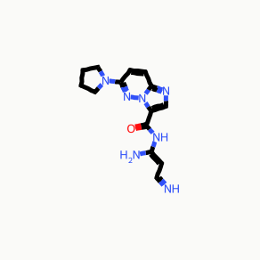 N=C/C=C(\N)NC(=O)c1cnc2ccc(N3CCCC3)nn12